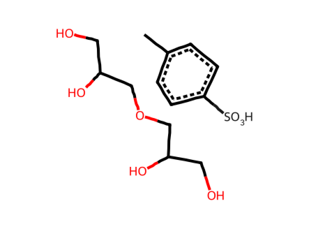 Cc1ccc(S(=O)(=O)O)cc1.OCC(O)COCC(O)CO